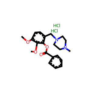 COc1ccc(CN2CCN(C)CC2)c(OC(=O)c2ccccc2)c1OC.Cl.Cl